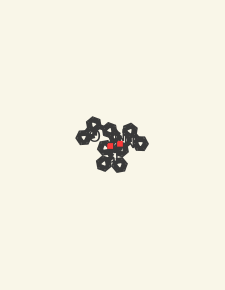 c1ccc([Si](c2ccccc2)(c2ccccc2)c2ccc(-n3c4ccccc4c4cccc(-n5c6ccccc6c6cc(-c7cccc8c7oc7ccccc78)ccc65)c43)cc2)cc1